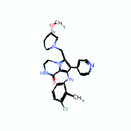 CO[C@H]1CCN(Cc2c(-c3ccncc3)c(Nc3cccc(Cl)c3C)c3n2CCNC3=O)C1